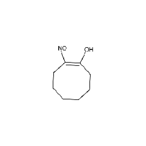 O=N/C1=C(\O)CCCCCC1